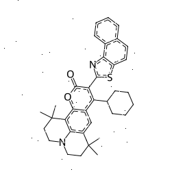 CC1(C)CCN2CCC(C)(C)c3c2c1cc1c(C2CCCCC2)c(-c2nc4c(ccc5ccccc54)s2)c(=O)oc31